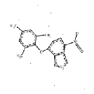 Cc1cc(C)c(Oc2ccc([N+](=O)[O-])c3nonc23)c(C)c1